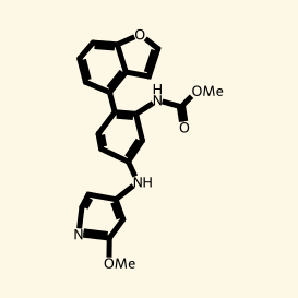 COC(=O)Nc1cc(Nc2ccnc(OC)c2)ccc1-c1cccc2occc12